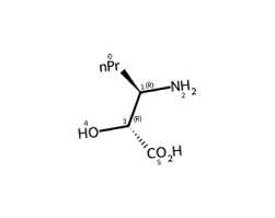 CCC[C@@H](N)[C@@H](O)C(=O)O